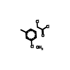 Cc1cccc(Cl)c1.O.O=C(Cl)CCl